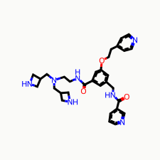 O=C(NCCN(CC1CNC1)CC1CNC1)c1cc(CNC(=O)c2cccnc2)cc(OCCc2ccncc2)c1